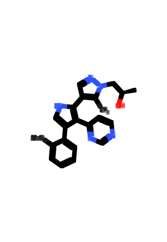 COc1ccccc1-c1c[nH]c(-c2cnn(C[C@@H](C)O)c2C(F)(F)F)c1-c1ccncn1